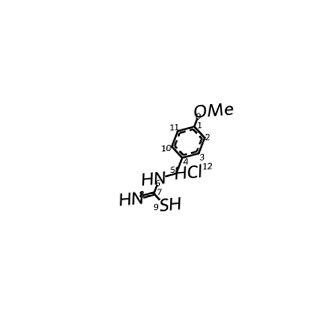 COc1ccc(CNC(=N)S)cc1.Cl